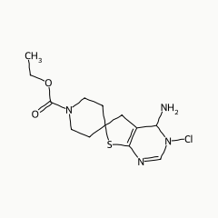 CCOC(=O)N1CCC2(CC1)CC1=C(N=CN(Cl)C1N)S2